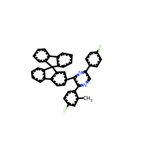 Cc1cc(F)ccc1-c1ncc(-c2ccc(F)cc2)nc1-c1ccc2c(c1)C1(c3ccccc3-c3ccccc31)c1ccccc1-2